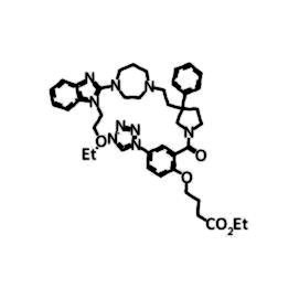 CCOCCn1c(N2CCCN(CCC3(c4ccccc4)CCN(C(=O)c4cc(-n5cnnn5)ccc4OCCCC(=O)OCC)C3)CC2)nc2ccccc21